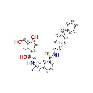 CC(C)(Cc1cccc(C(=O)NCCc2ccc(Oc3ccccc3)cc2)c1)NC[C@H](O)c1ccc(O)c(CO)c1